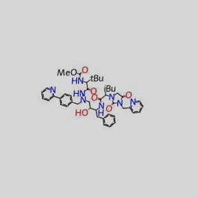 CCC(C)C(C(=O)NC(Cc1ccccc1)C(O)CN(Cc1ccc(-c2ccccn2)cc1)NC(=O)C(NC(=O)OC)C(C)(C)C)N1CC(=O)N(Cc2ccccn2)C1=O